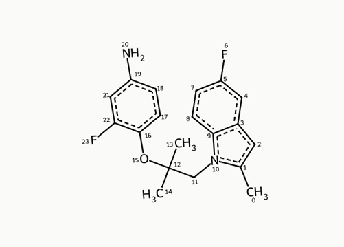 Cc1cc2cc(F)ccc2n1CC(C)(C)Oc1ccc(N)cc1F